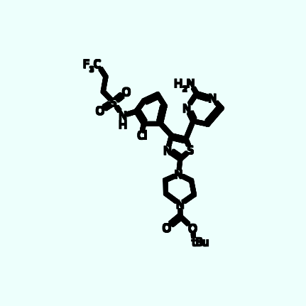 CC(C)(C)OC(=O)N1CCN(c2nc(-c3cccc(NS(=O)(=O)CCC(F)(F)F)c3Cl)c(-c3ccnc(N)n3)s2)CC1